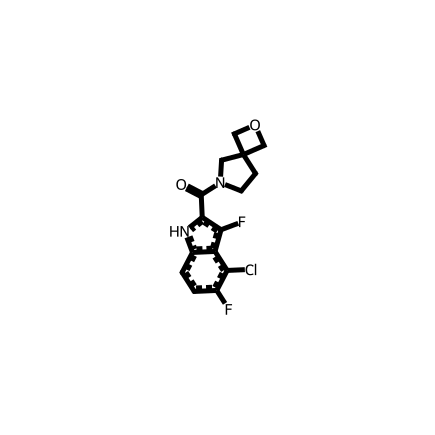 O=C(c1[nH]c2ccc(F)c(Cl)c2c1F)N1CCC2(COC2)C1